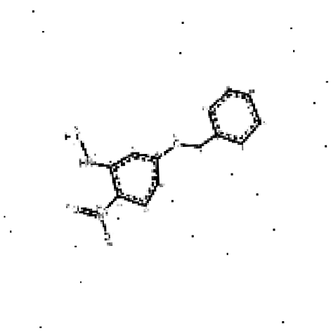 CNc1cc(OCc2ccccc2)ccc1[N+](=O)[O-]